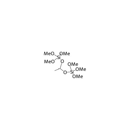 CO[Si](OC)(OC)O[C](C)O[Si](OC)(OC)OC